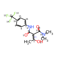 C/C(O)=C(\C(=O)Nc1ccc(C(F)(F)F)cc1)C(=O)N(C)C